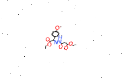 CCOC(=O)CC(=O)N/N=C(/C(=O)OCC)c1ccc(OC)cc1